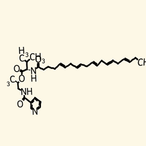 CCC=CCC=CCC=CCC=CCC=CCCCC(=O)N[C@H](C(=O)O[C@H](C)CNC(=O)c1cccnc1)C(C)C